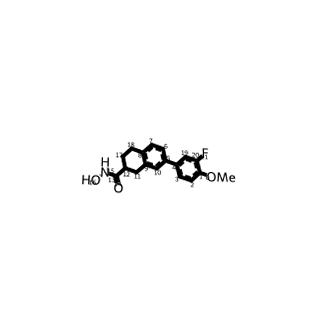 COc1ccc(-c2ccc3c(c2)CC(C(=O)NO)CC3)cc1F